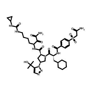 CC(C)(O)c1cnnn1[C@H]1C[C@@H](C(=O)NC(CCCCNC(=O)NC2CC2)C(=O)C(N)=O)N(C(=O)[C@@H](CC2CCCCC2)NC(=O)c2ccc(S(=O)(=O)CC(N)=O)cc2)C1